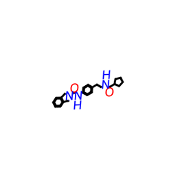 O=C(NCCc1ccc(NC(=O)N2Cc3ccccc3C2)cc1)C1CCCC1